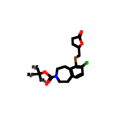 CC(C)(C)OC(=O)N1CCc2ccc(Cl)c(SCC3CCC(=O)O3)c2CC1